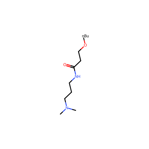 CCCCOCCC(=O)NCCCN(C)C